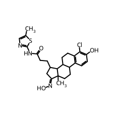 Cc1cnc(NC(=O)CCC2C/C(=N\O)C3(C)CCC4c5ccc(O)c(Cl)c5CCC4C23)s1